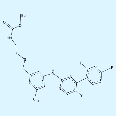 CC(C)(C)OC(=O)NCCSCc1cc(Nc2ncc(F)c(-c3ccc(F)cc3F)n2)cc(C(F)(F)F)c1